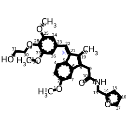 COc1ccc2c(c1)C(CC(=O)NCc1ccco1)=C(C)/C2=C/c1cc(OC)c(OCCO)c(OC)c1